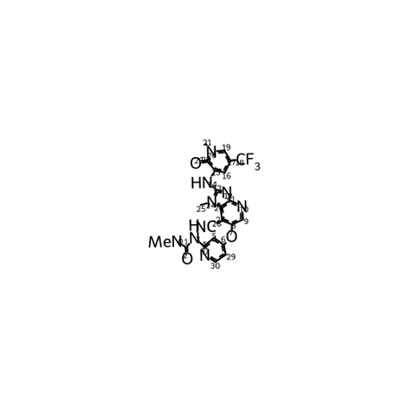 CNC(=O)Nc1cc(Oc2cnc3nc(Nc4cc(C(F)(F)F)cn(C)c4=O)n(C)c3c2C#N)ccn1